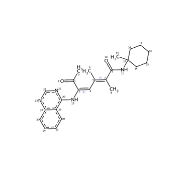 CC(=O)/C(=C\C(C)=C(/C)C(=O)NC1(C)CCCCC1)Nc1ncnc2ccccc12